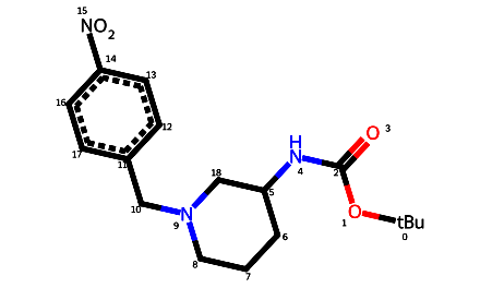 CC(C)(C)OC(=O)NC1CCCN(Cc2ccc([N+](=O)[O-])cc2)C1